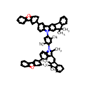 C=C1/C(=C\c2c(C)n(-c3cc(C#N)c(-n4c5ccc(-c6ccc7oc8ccccc8c7c6)cc5c5cc6c(cc54)C(C)(C)c4ccccc4-6)cc3C#N)c3ccc(-c4ccc5oc6ccccc6c5c4)cc23)c2ccccc2C1(C)C